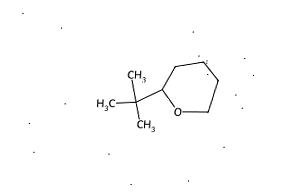 CC(C)(C)C1C[C]CCO1